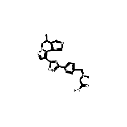 CC1Cn2ncc(-c3nc(-c4ccc(CN(C)CC(=O)O)cc4)no3)c2-c2ccncc21